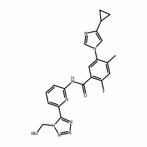 Cc1cc(F)c(C(=O)Nc2cccc(-c3nnnn3CC(C)(C)C)n2)cc1-n1cnc(C2CC2)c1